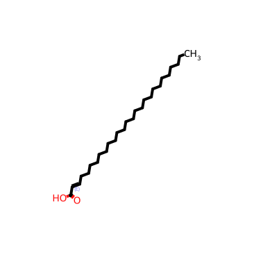 CCCCCCCCCCCCCCCCCCCCCCCC/C=C/C(=O)O